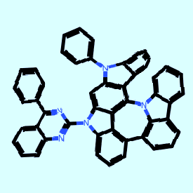 c1ccc(-c2nc(-n3c4cccc5c6cccc7c8ccccc8n(c67)c6c7c8ccccc8n(-c8ccccc8)c7cc3c6c54)nc3ccccc23)cc1